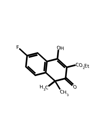 CCOC(=O)C1=C(O)c2cc(F)ccc2C(C)(C)C1=O